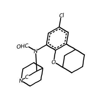 O=CN(c1cc(Cl)cc2c1OC1CCCC2C1)C1CN2CCC1CC2